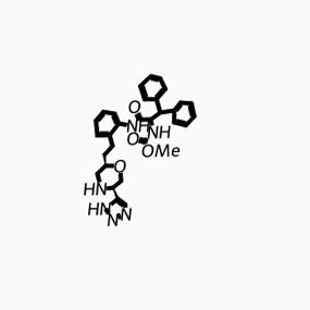 COC(=O)NC(C(=O)Nc1ccccc1CC[C@@H]1CN[C@H](c2cnn[nH]2)CO1)C(c1ccccc1)c1ccccc1